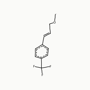 [CH2]OC/C=C/c1ccc(C(F)(F)F)cc1